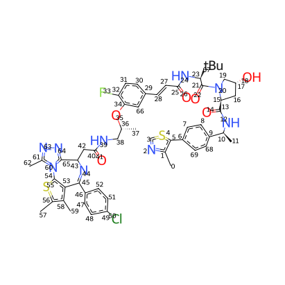 Cc1ncsc1-c1ccc([C@H](C)NC(=O)[C@@H]2C[C@@H](O)CN2C(=O)[C@@H](NC(=O)/C=C/c2ccc(F)c(O[C@H](C)CNC(=O)CC3N=C(c4ccc(Cl)cc4)c4c(sc(C)c4C)-n4c(C)nnc43)c2)C(C)(C)C)cc1